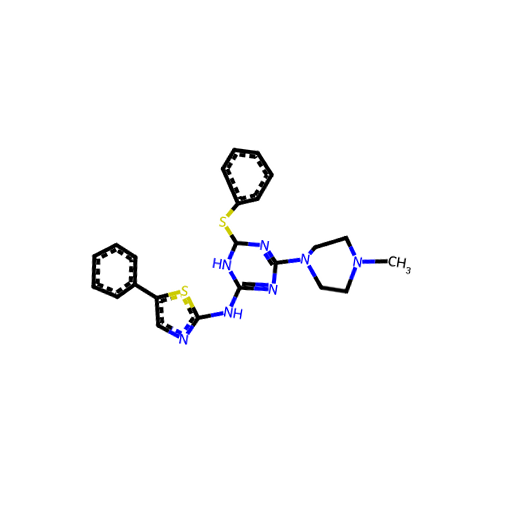 CN1CCN(C2=NC(Sc3ccccc3)NC(Nc3ncc(-c4ccccc4)s3)=N2)CC1